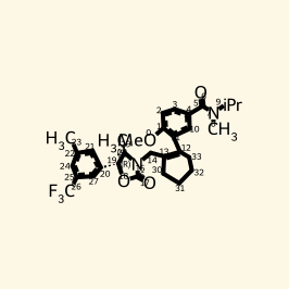 COc1ccc(C(=O)N(C)C(C)C)cc1C1=C(CN2C(=O)O[C@H](c3cc(C)cc(C(F)(F)F)c3)[C@@H]2C)CCCC1